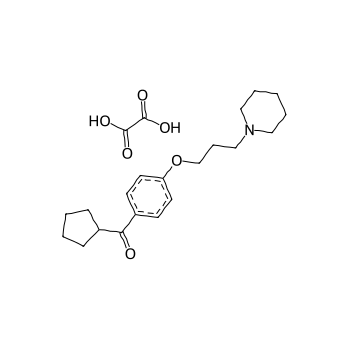 O=C(O)C(=O)O.O=C(c1ccc(OCCCN2CCCCC2)cc1)C1CCCC1